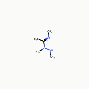 C/N=C(\C)N(C)NC